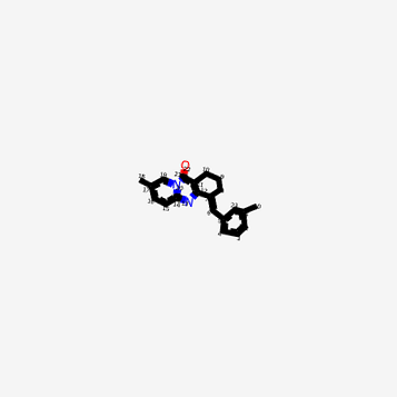 Cc1cccc(C=C2CCCc3c2nc2ccc(C)cn2c3=O)c1